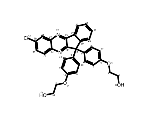 OCCOc1ccc(C2(c3ccc(OCCO)cc3)c3ccccc3-c3nc4cc(Cl)ccc4nc32)cc1